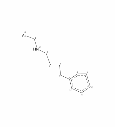 [CH2]C(=O)CNCCCCc1ccccc1